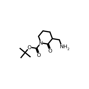 CC(C)(C)OC(=O)N1CCCC(CN)C1=O